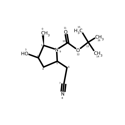 C[C@@H]1C(O)CC(CC#N)N1C(=O)OC(C)(C)C